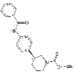 CC(C)(C)OC(=O)N1CCC[C@@H](c2ccc(NC(=O)c3ccccc3)cc2)C1